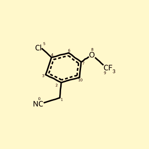 N#CCc1cc(Cl)cc(OC(F)(F)F)c1